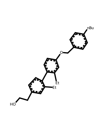 CCCCc1ccc(COc2ccc(-c3ccc(CCO)cc3CC)c(CC)c2)cc1